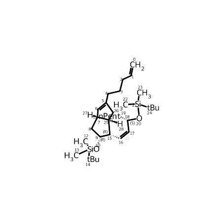 C=CCCCC1=C[C@H]2C[C@@H](O[Si](C)(C)C(C)(C)C)[C@@H](/C=C\[C@H](CCCCC)O[Si](C)(C)C(C)(C)C)[C@H]2C1